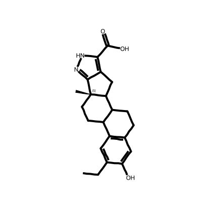 CCc1cc2c(cc1O)CCC1C2CC[C@]2(C)c3n[nH]c(C(=O)O)c3CC12